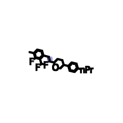 CCCc1ccc(C2CCC(/C=C/c3ccc(C)c(F)c3C(F)F)OC2)cc1